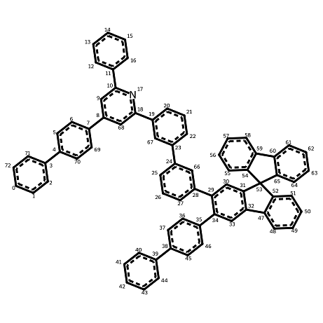 c1ccc(-c2ccc(-c3cc(-c4ccccc4)nc(-c4cccc(-c5cccc(-c6cc7c(cc6-c6ccc(-c8ccccc8)cc6)-c6ccccc6C76c7ccccc7-c7ccccc76)c5)c4)c3)cc2)cc1